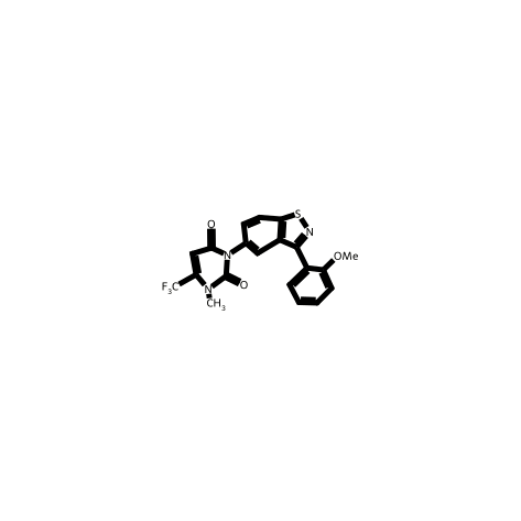 COc1ccccc1-c1nsc2ccc(-n3c(=O)cc(C(F)(F)F)n(C)c3=O)cc12